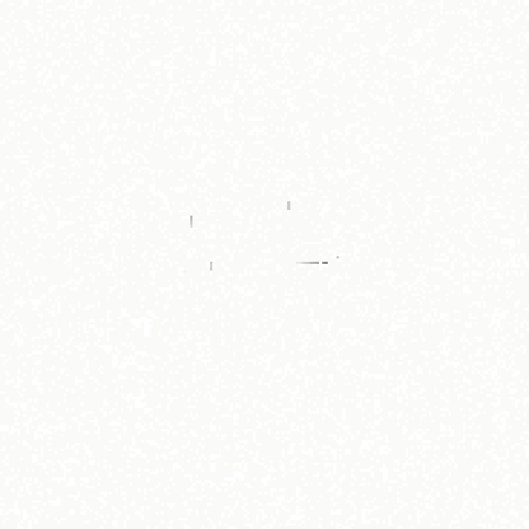 C=C=C.ClC(Cl)(Cl)Cl